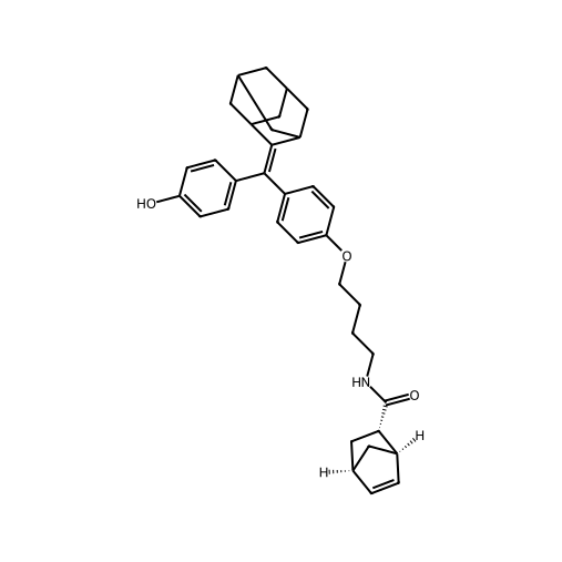 O=C(NCCCCOc1ccc(C(=C2C3CC4CC(C3)CC2C4)c2ccc(O)cc2)cc1)[C@H]1C[C@@H]2C=C[C@H]1C2